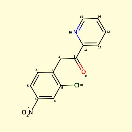 O=C(Cc1ccc([N+](=O)[O-])cc1Cl)c1ccccn1